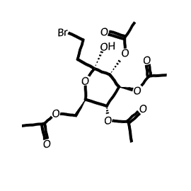 CC(=O)OC[C@H]1O[C@@](O)(CCBr)[C@H](OC(C)=O)[C@@H](OC(C)=O)[C@@H]1OC(C)=O